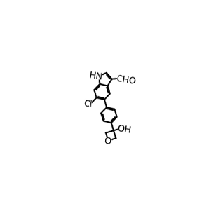 O=Cc1c[nH]c2cc(Cl)c(-c3ccc(C4(O)COC4)cc3)cc12